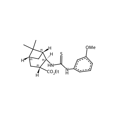 CCOC(=O)[C@@H]1C[C@H]2C[C@@H]([C@H]1NC(=S)Nc1cccc(OC)c1)C2(C)C